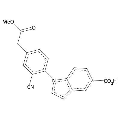 COC(=O)Cc1ccc(-n2ccc3cc(C(=O)O)ccc32)c(C#N)c1